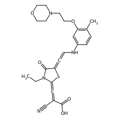 CCn1c(=C=C(C#N)C(=O)O)sc(=C=CNc2ccc(C)c(OCCN3CCOCC3)c2)c1=O